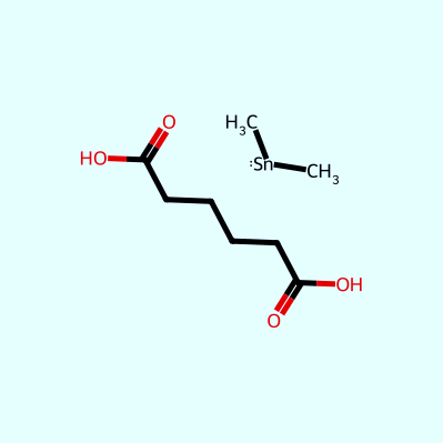 O=C(O)CCCCC(=O)O.[CH3][Sn][CH3]